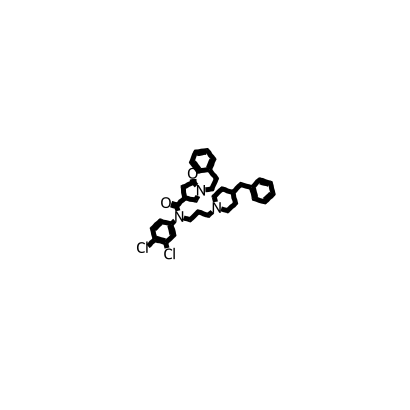 O=C1CC(C(=O)N(CCCN2CCC(Cc3ccccc3)CC2)c2ccc(Cl)c(Cl)c2)CN1CCc1ccccc1